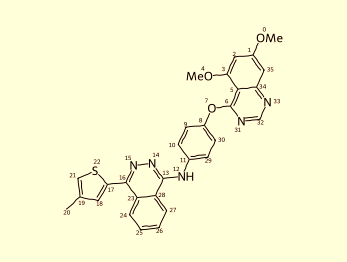 COc1cc(OC)c2c(Oc3ccc(Nc4nnc(-c5cc(C)cs5)c5ccccc45)cc3)ncnc2c1